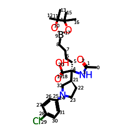 CC(=O)N[C@](CCCCB1OC(C)(C)C(C)(C)O1)(C(=O)O)[C@H]1CCN(c2ccc(Cl)cc2)C1